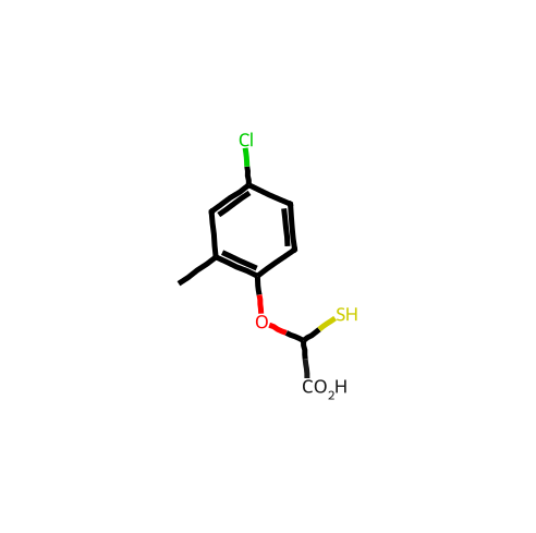 Cc1cc(Cl)ccc1OC(S)C(=O)O